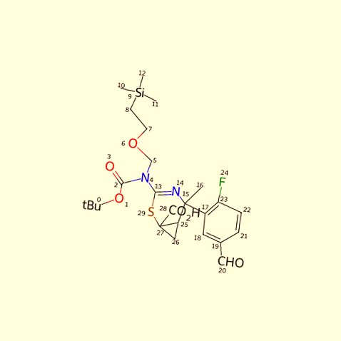 CC(C)(C)OC(=O)N(COCC[Si](C)(C)C)C1=NC(C)(c2cc(C=O)ccc2F)C2CC2(C(=O)O)S1